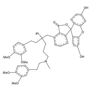 COc1ccc(CCN(C)CCCC(CCc2ccc(OC)c(OC)c2)(Cc2cccc3c2C(=O)OC32c3ccc(O)cc3Oc3cc(O)ccc32)C(C)C)cc1OC